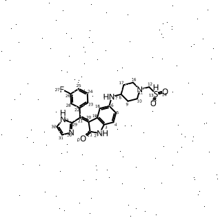 O=C1Nc2ccc(NC3CCN(C[SH](=O)=O)CC3)cc2/C1=C(\c1cccc(F)c1)c1ncc[nH]1